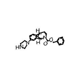 O=C(OCc1ccccc1)N1CC[C@@H]2C[C@@H]1c1cc(N3CCNCC3)ccc12